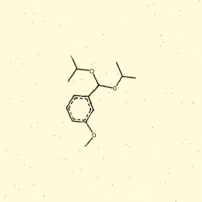 COc1cccc([C](OC(C)C)OC(C)C)c1